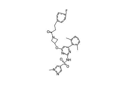 Cc1cccc(C)c1-c1cc(OC2CN(C(=O)CCc3ccc(F)cc3)C2)nc(NS(=O)(=O)c2cnn(C)c2)n1